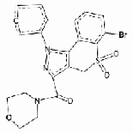 O=C(c1nn(-c2ccccc2)c2c1CS(=O)(=O)c1c(Br)cccc1-2)N1CCOCC1